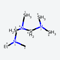 CCN(C)[SiH2]N([SiH3])[SiH2]N([SiH3])[SiH3]